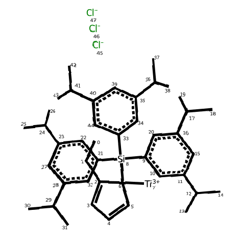 CCC1=CC=C[C]1([Ti+3])[Si](c1cc(C(C)C)cc(C(C)C)c1)(c1cc(C(C)C)cc(C(C)C)c1)c1cc(C(C)C)cc(C(C)C)c1.[Cl-].[Cl-].[Cl-]